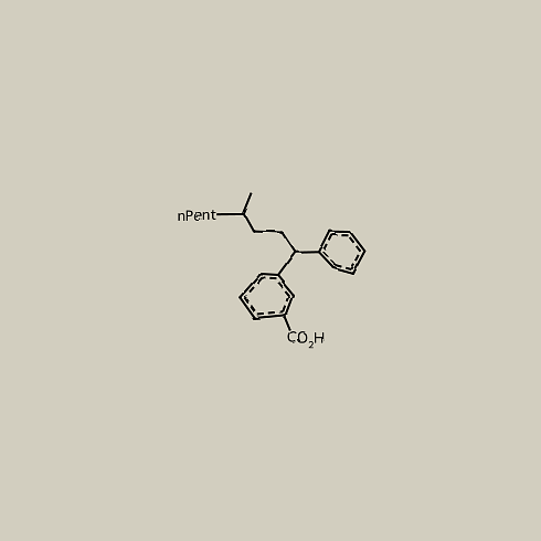 CCCCCC(C)CCC(c1ccccc1)c1cccc(C(=O)O)c1